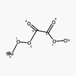 CC(C)(C)OOC(=O)C(=O)OCl